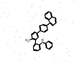 Cc1ccc(-c2ccc(-c3cccc4ccccc34)cc2)cc1-c1ccccc1Nc1ccccc1